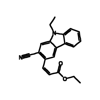 CCOC(=O)/C=C\c1cc2c3ccccc3n(CC)c2cc1C#N